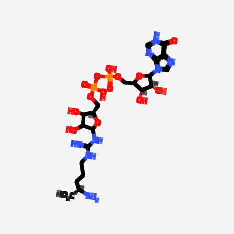 N=C(NCCC[C@H](N)C(=O)O)NC1O[C@H](COP(=O)(O)OP(=O)(O)OCC2OC(n3cnc4c(=O)[nH]cnc43)[C@H](O)[C@@H]2O)C(O)C1O